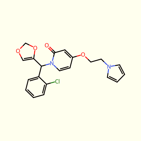 O=c1cc(OCCn2cccc2)ccn1C(C1=COCO1)c1ccccc1Cl